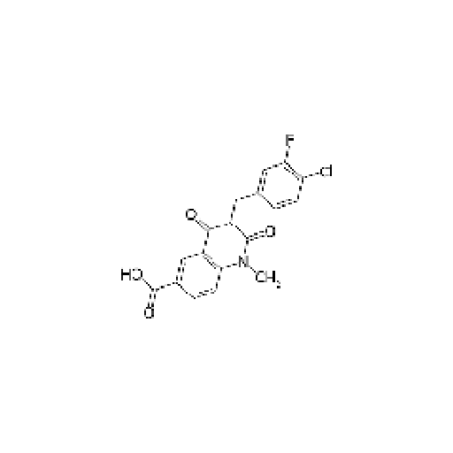 CN1C(=O)C(Cc2ccc(Cl)c(F)c2)C(=O)c2cc(C(=O)O)ccc21